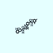 Cc1cc(C)c(NC(=O)c2ccc3nc(NC(=O)NC(CO)Cc4ccccc4)sc3c2)c(C)c1